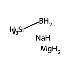 B[SiH3].[MgH2].[NaH].[V]